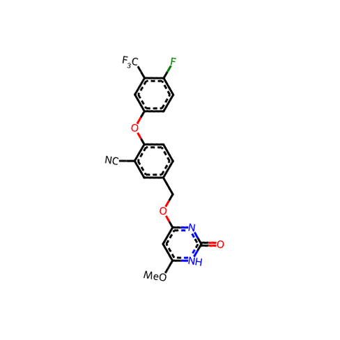 COc1cc(OCc2ccc(Oc3ccc(F)c(C(F)(F)F)c3)c(C#N)c2)nc(=O)[nH]1